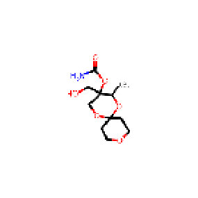 CC(C)(C)C1OC2(CCOCC2)OCC1(CO)OC(N)=O